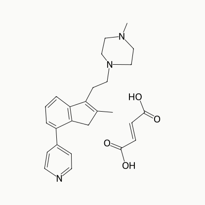 CC1=C(CCN2CCN(C)CC2)c2cccc(-c3ccncc3)c2C1.O=C(O)C=CC(=O)O